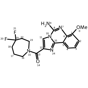 COc1cccc2c1nc(N)n1cc(C(=O)N3CCCC(F)(F)CC3)nc21